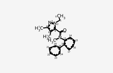 CCn1nc(C)c(C)c1C(=O)N(C)c1ccccc1-c1ccccc1